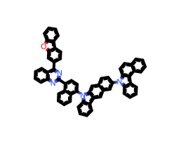 c1ccc2c(c1)ccc1c2c2ccccc2n1-c1ccc2cc3c(cc2c1)c1ccccc1n3-c1ccc(-c2nc(-c3ccc4c(c3)oc3ccccc34)c3ccccc3n2)c2ccccc12